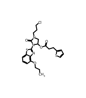 CCCOc1cccc2sc(N3C(=O)N(CCCCl)CC3OC(=O)CCc3cccs3)nc12